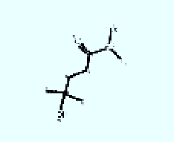 CCN(I)C(=O)CCC(C)(C)O